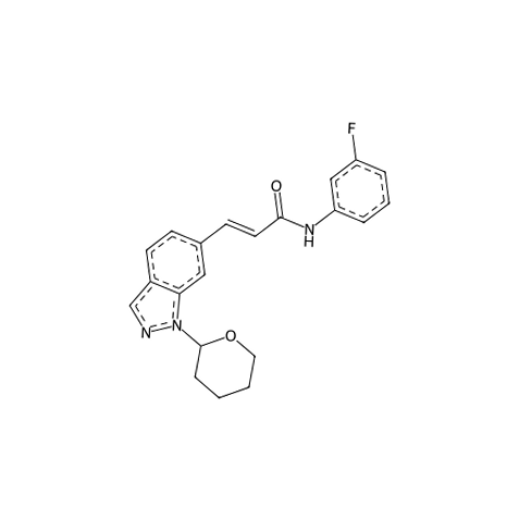 O=C(C=Cc1ccc2cnn(C3CCCCO3)c2c1)Nc1cccc(F)c1